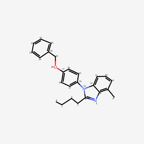 CCCCc1nc2c(C)cccc2n1-c1ccc(OCc2ccccc2)cc1